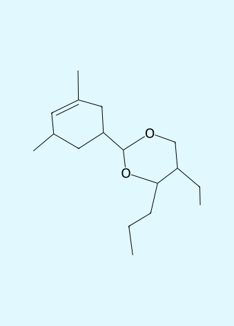 CCCC1OC(C2CC(C)=CC(C)C2)OCC1CC